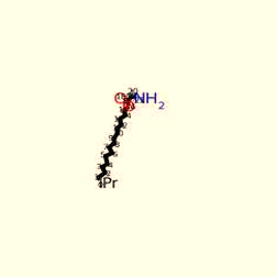 CC(C)CCCCCCCCCCCCCCCOC(=O)[C@H](C)N